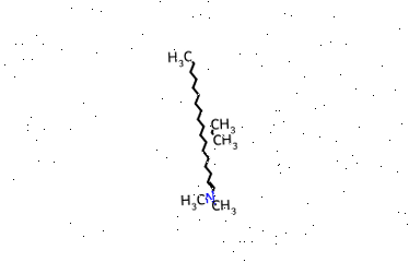 CCC.CCCCCCCCCCCCCCCCC=CN(C)C